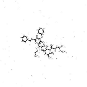 CCCC[C@H](NC(=O)[C@H](Cc1ccncc1)NC(=O)OCc1ccccc1)C(=O)NC(CC(C)C)C(O)CC(=O)NCC(C)CC